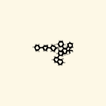 CC1(C)c2ccccc2-c2c(-c3ccccc3N(c3ccc(-c4ccc(-c5ccccc5)cc4)cc3)c3cccc(-c4cccc5ccccc45)c3)cccc21